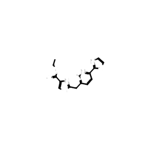 CCOC(=O)c1coc(Cc2ccc(-c3nccs3)nn2)n1